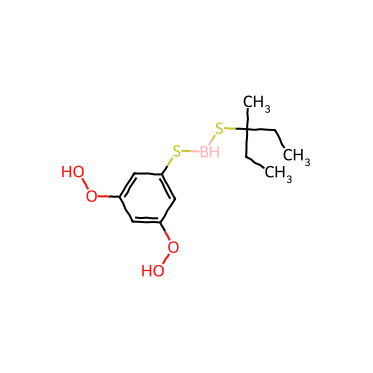 CCC(C)(CC)SBSc1cc(OO)cc(OO)c1